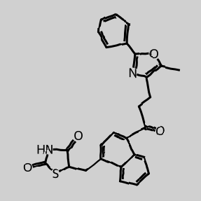 Cc1oc(-c2ccccc2)nc1CCC(=O)c1ccc(CC2SC(=O)NC2=O)c2ccccc12